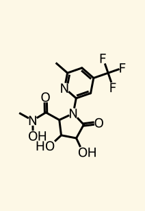 Cc1cc(C(F)(F)F)cc(N2C(=O)C(O)C(O)C2C(=O)N(C)O)n1